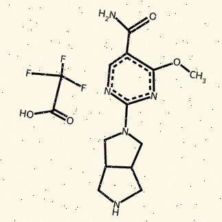 COc1nc(N2CC3CNCC3C2)ncc1C(N)=O.O=C(O)C(F)(F)F